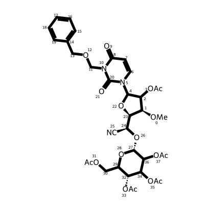 CO[C@@H]1C(OC(C)=O)C(n2ccc(=O)n(COCc3ccccc3)c2=O)O[C@@H]1[C@H](C#N)O[C@H]1OC(COC(C)=O)[C@@H](OC(C)=O)C(OC(C)=O)C1OC(C)=O